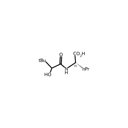 CCC[C@H](NC(=O)C(O)C(C)(C)C)C(=O)O